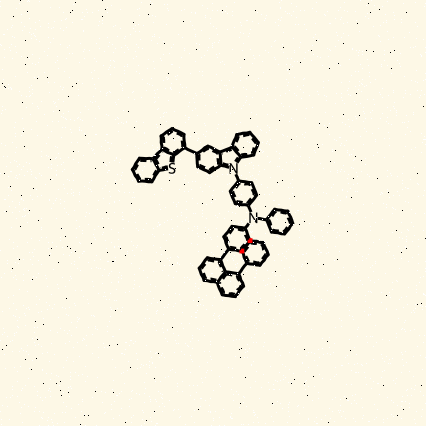 c1ccc(-c2cccc3cccc(-c4ccc(N(c5ccccc5)c5ccc(-n6c7ccccc7c7cc(-c8cccc9c8sc8ccccc89)ccc76)cc5)cc4)c23)cc1